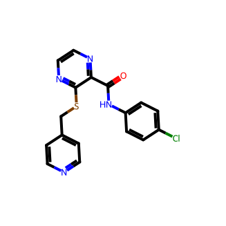 O=C(Nc1ccc(Cl)cc1)c1nccnc1SCc1ccncc1